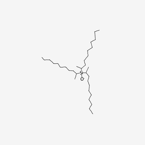 CCCCCCCCCC(C)[Si]([O])(C(C)CCCCCCCCC)C(C)CCCCCCCCC